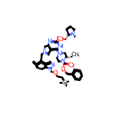 Cc1ccc2c(cnn2COCC[Si](C)(C)C)c1CN1Cc2nc(OC[C@@H]3CCCN3C)nc(N3CCN(C(=O)OCc4ccccc4)[C@@H](CC#N)C3)c2C1